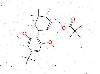 COc1cc(C(C)(C)C)cc(OC)c1[C@H]1C=C(COC(=O)C(C)(C)C)[C@@H](C)C(C)(C)[C@H]1C